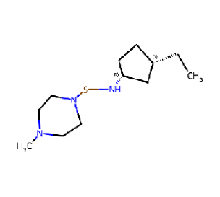 CC[C@H]1CC[C@@H](NSN2CCN(C)CC2)C1